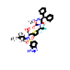 COC(=O)N(C(=O)[C@@H](N)C(c1ccccc1)c1ccccc1)[C@H](c1ccc([C@@H](CO)N(CCC(C)(C)C)S(=O)(=O)c2ccc3nn[nH]c3c2)s1)C(F)(F)F